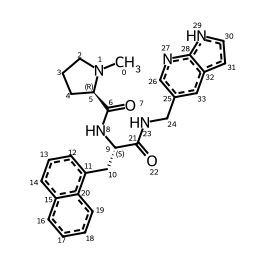 CN1CCC[C@@H]1C(=O)N[C@@H](Cc1cccc2ccccc12)C(=O)NCc1cnc2[nH]ccc2c1